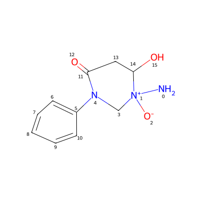 N[N+]1([O-])CN(c2ccccc2)C(=O)CC1O